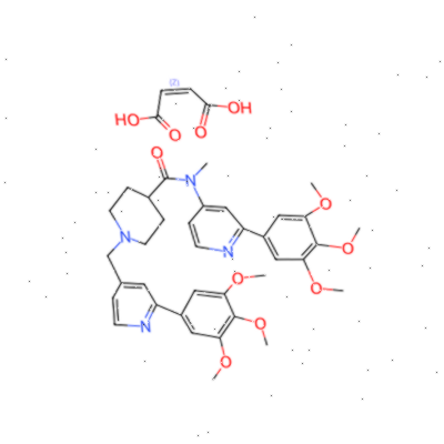 COc1cc(-c2cc(CN3CCC(C(=O)N(C)c4ccnc(-c5cc(OC)c(OC)c(OC)c5)c4)CC3)ccn2)cc(OC)c1OC.O=C(O)/C=C\C(=O)O